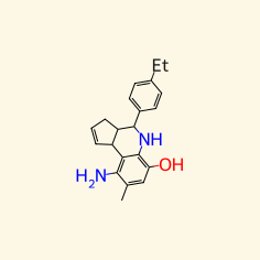 CCc1ccc(C2Nc3c(O)cc(C)c(N)c3C3C=CCC32)cc1